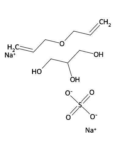 C=CCOCC=C.O=S(=O)([O-])[O-].OCC(O)CO.[Na+].[Na+]